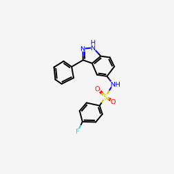 O=S(=O)(Nc1ccc2[nH]nc(-c3ccccc3)c2c1)c1ccc(F)cc1